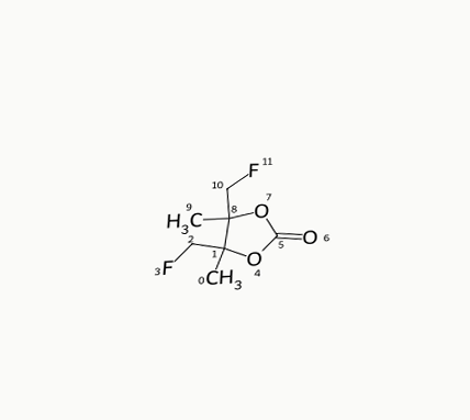 CC1(CF)OC(=O)OC1(C)CF